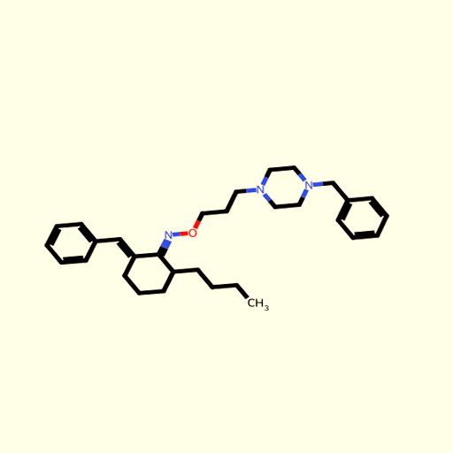 CCCCC1CCCC(=C\c2ccccc2)/C1=N/OCCCN1CCN(Cc2ccccc2)CC1